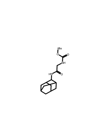 CC(C)(C)OC(=O)NCC(=O)NC1C2CC3CC(C2)CC1C3